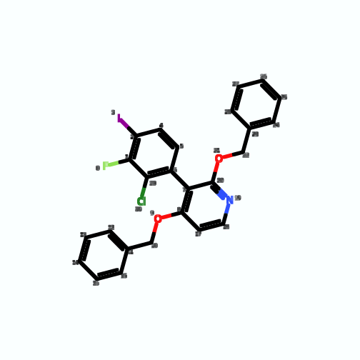 Fc1c(I)ccc(-c2c(OCc3ccccc3)ccnc2OCc2ccccc2)c1Cl